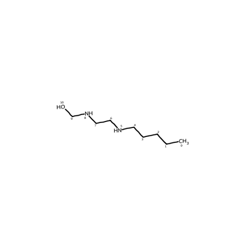 CCCCCNCCNCO